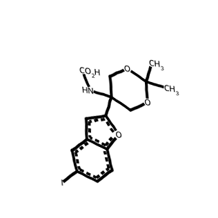 CC1(C)OCC(NC(=O)O)(c2cc3cc(I)ccc3o2)CO1